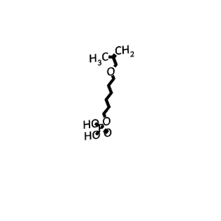 C=C(C)COCCCCCCOP(=O)(O)O